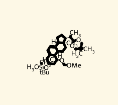 COCO[C@H]1C[C@H](O[Si](C)(C)C(C)(C)C)CC2=CC=C3[C@@H]4CC[C@H](C(C)C5OCC(C)(C)CO5)[C@@]4(C)CC[C@@H]3[C@]21C